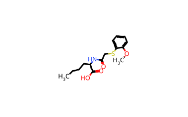 CCCCC(NC(=O)CSc1ccccc1OC)C(=O)O